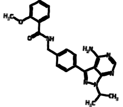 COc1ccccc1C(=O)NCc1ccc(-c2nn(C(C)C)c3ncnc(N)c23)cc1